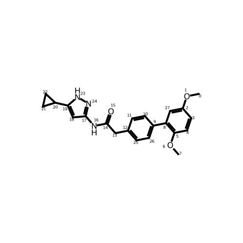 COc1ccc(OC)c(-c2ccc(CC(=O)Nc3cc(C4CC4)[nH]n3)cc2)c1